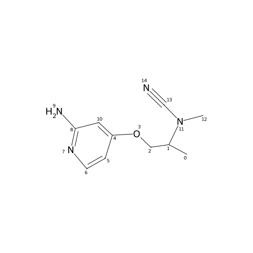 CC(COc1ccnc(N)c1)N(C)C#N